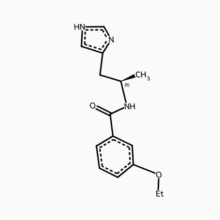 CCOc1cccc(C(=O)N[C@H](C)Cc2c[nH]cn2)c1